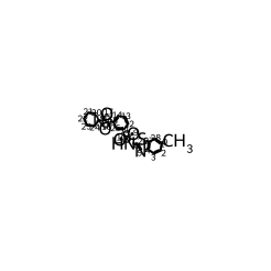 Cc1ccc2nc(NS(=O)(=O)c3cccc(S(=O)(=O)N4CCCCC4)c3)sc2c1